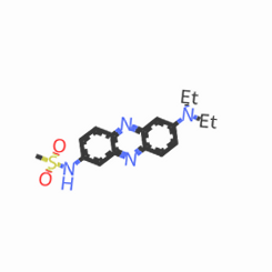 CCN(CC)c1ccc2nc3cc(NS(C)(=O)=O)ccc3nc2c1